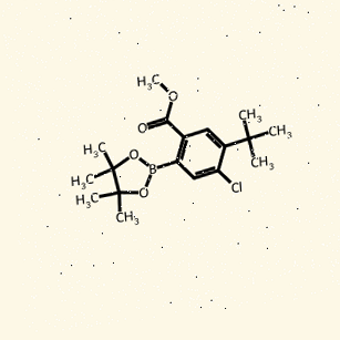 COC(=O)c1cc(C(C)(C)C)c(Cl)cc1B1OC(C)(C)C(C)(C)O1